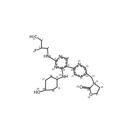 CCC(F)CNc1ncc(-c2ccc(CN3CCOC3=O)cn2)c(NC2CCC(O)CC2)n1